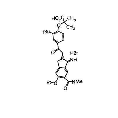 Br.CCOc1cc2c(cc1C(=O)NC)C(=N)N(CC(=O)c1ccc(OC(C)(C)C(=O)O)c(C(C)(C)C)c1)C2